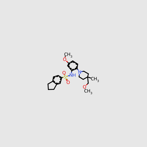 COCC1(C)CCN(c2ccc(OC)cc2NS(=O)(=O)c2ccc3c(c2)CCC3)CC1